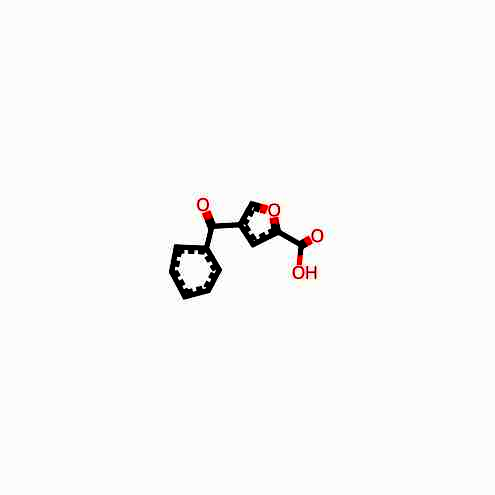 O=C(c1ccccc1)c1coc(C(=O)O)c1